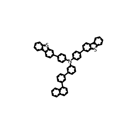 c1cc(-c2cccc(N(c3ccc(-c4ccc5c(c4)sc4ccccc45)cc3)c3ccc(-c4ccc5c(c4)sc4ccccc45)cc3)c2)cc(-c2cccc3ccccc23)c1